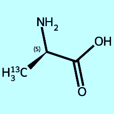 [13CH3][C@@H](N)C(=O)O